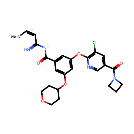 CN/C=C\C(=N)NC(=O)c1cc(Oc2ncc(C(=O)N3CCC3)cc2Cl)cc(OC2CCOCC2)c1